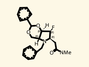 CNC(=O)C[C@@H]1[C@@H](F)[C@@H]2OC(c3ccccc3)OC[C@H]2N1Cc1ccccc1